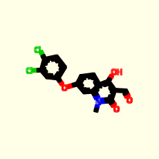 Cn1c(=O)c(C=O)c(O)c2ccc(Oc3ccc(Cl)c(Cl)c3)cc21